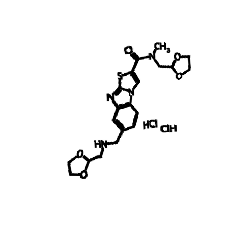 CN(CC1OCCO1)C(=O)c1cn2c(nc3cc(CNCC4OCCO4)ccc32)s1.Cl.Cl